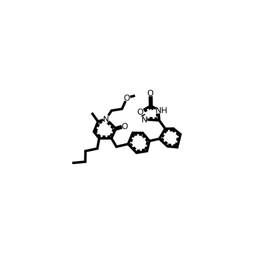 CCCCc1cc(C)n(CCOC)c(=O)c1Cc1ccc(-c2ccccc2-c2noc(=O)[nH]2)cc1